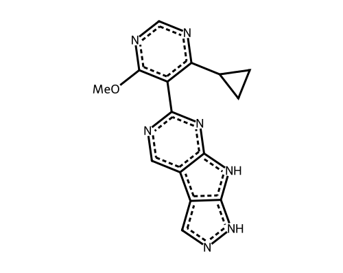 COc1ncnc(C2CC2)c1-c1ncc2c(n1)[nH]c1[nH]ncc12